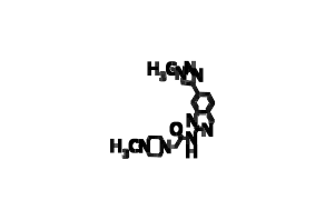 CN1CCN(CC(=O)Nc2ncc3ccc(-c4cn(C)nn4)cc3n2)CC1